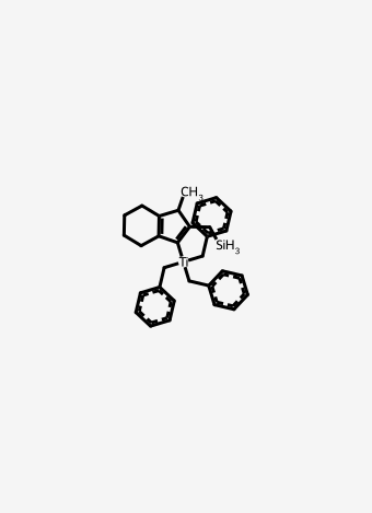 CC1C2=C(CCCC2)[C]([Ti]([CH2]c2ccccc2)([CH2]c2ccccc2)[CH2]c2ccccc2)=C1C[SiH3]